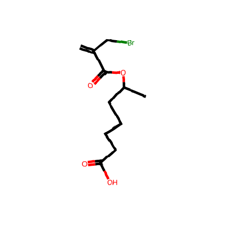 C=C(CBr)C(=O)OC(C)CCCCC(=O)O